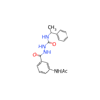 CC(=O)Nc1cccc(C(=O)NNC(=O)NC(C)c2ccccc2)c1